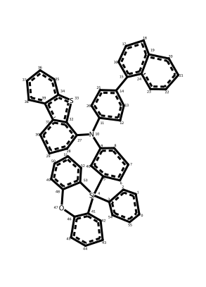 c1ccc([Si]2(c3cccc(N(c4ccc(-c5cccc6ccccc56)cc4)c4cccc5c4sc4ccccc45)c3)c3ccccc3Oc3ccccc32)cc1